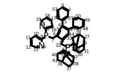 c1ccc(-c2cc(CP(c3ccccn3)c3ccccn3)c(CP(C34CC5CC(CC(C5)C3)C4)C34CC5CC(CC(C5)C3)C4)cc2-c2ccccc2)cc1